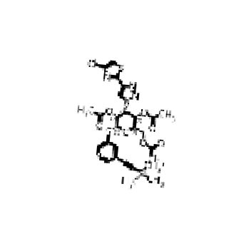 CC(=O)OC[C@H]1O[C@H](Sc2cncc(C#C[Si](C)(C)C)c2)[C@H](OC(C)=O)[C@@H](n2cc(-c3nc(Cl)cs3)nn2)[C@H]1OC(C)=O